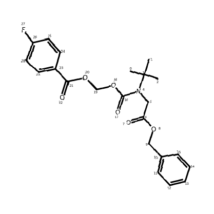 CC(C)(C)N(CC(=O)OCc1ccccc1)C(=O)OCOC(=O)c1ccc(F)cc1